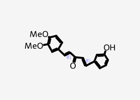 COc1ccc(/C=C/C(=O)/C=C/c2cccc(O)c2)cc1OC